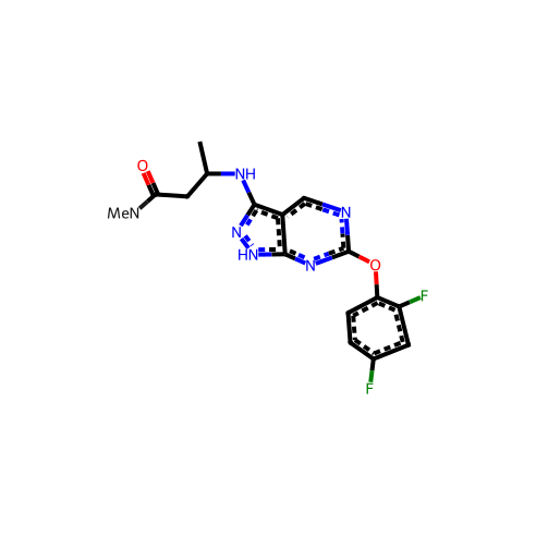 CNC(=O)CC(C)Nc1n[nH]c2nc(Oc3ccc(F)cc3F)ncc12